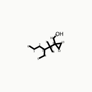 CCCC(CC)C(C)(C)C1(CO)CC1